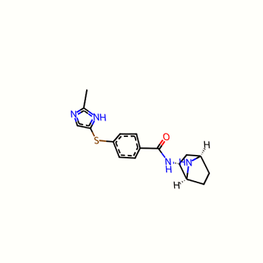 Cc1ncc(Sc2ccc(C(=O)N[C@@H]3C[C@H]4CC[C@@H]3N4)cc2)[nH]1